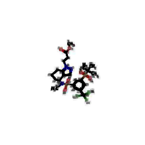 COC(=O)CCn1ncc2c1CCC[C@H]2N(C)S(=O)(=O)c1cc(C(F)(F)F)cc(S(=O)(=O)C(C)(C)C)c1